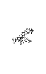 CCOC(=O)Cc1c(OC(=O)OCC)c2cc(Oc3ccc(C(F)(F)F)cc3)ccc2n1-c1ccc(N2CCOCC2)cc1